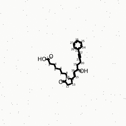 O=C(O)CCCCCCN1C(=O)CCC1C=C[C@H](O)CCC#Cc1ccccc1